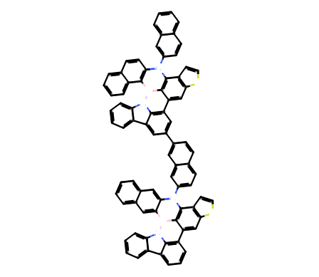 c1ccc2cc(N3c4ccc5ccccc5c4B4c5c(cc6sccc6c53)-c3cc(-c5ccc6ccc(N7c8cc9ccccc9cc8B8c9c(cc%10sccc%10c97)-c7cccc9c%10ccccc%10n8c79)cc6c5)cc5c6ccccc6n4c35)ccc2c1